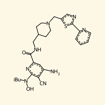 CCC(C)N(O)c1nc(C(=O)NCC2CCN(Cc3cnc(-c4ccccn4)s3)CC2)cc(N)c1C#N